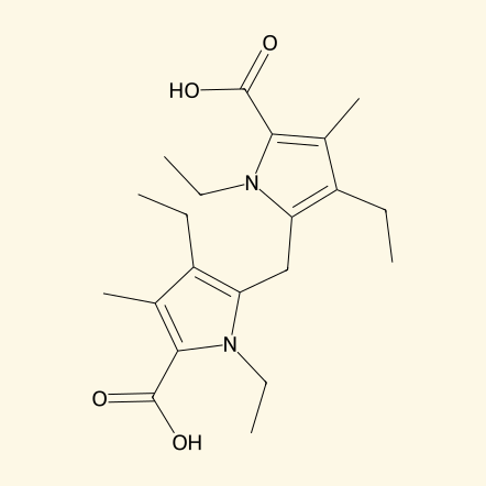 CCc1c(C)c(C(=O)O)n(CC)c1Cc1c(CC)c(C)c(C(=O)O)n1CC